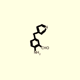 Nc1ccc(Cc2ccncc2)cc1C=O